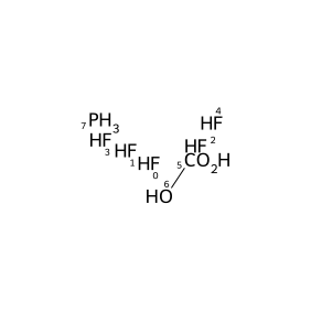 F.F.F.F.F.O=C(O)O.P